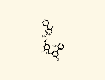 CCc1nc(/C=N/Nc2ncc(F)c(N3CCOCC3)n2)ccc1Nc1cc(Cl)cc(-c2ccccc2O)c1